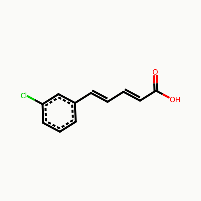 O=C(O)C=CC=Cc1cccc(Cl)c1